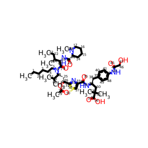 CCCCCCN(C(=O)[C@@H](NC(=O)[C@H]1CCCCN1C)[C@@H](C)CC)[C@H](C[C@@H](OC(C)=O)c1nc(C(=O)N[C@@H](Cc2ccc(NC(=O)CO)cc2)CC(C)(C)C(=O)O)cs1)C(C)C